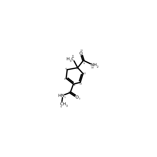 CNC(=O)C1=CCC(C)(C(N)=O)C=C1